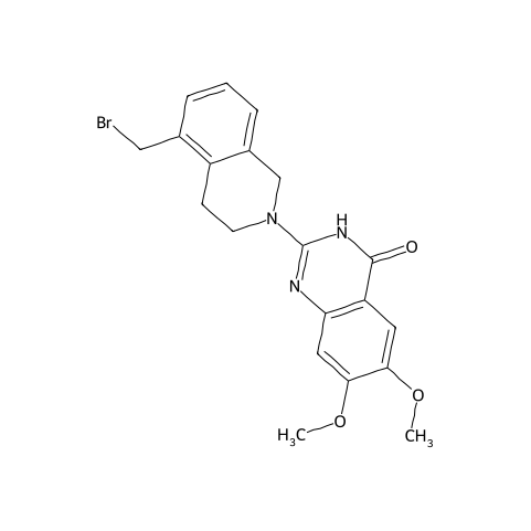 COc1cc2nc(N3CCc4c(CBr)cccc4C3)[nH]c(=O)c2cc1OC